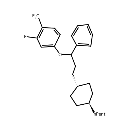 CCCCC[C@H]1CC[C@H](CCC(Oc2ccc(C(F)(F)F)c(F)c2)c2ccccc2)CC1